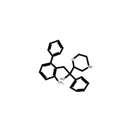 Cc1cccc(-c2ccccc2)c1CC(O)(c1ccccc1)C1CNCCO1